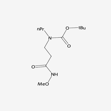 CCCN(CCC(=O)NOC)C(=O)OC(C)(C)C